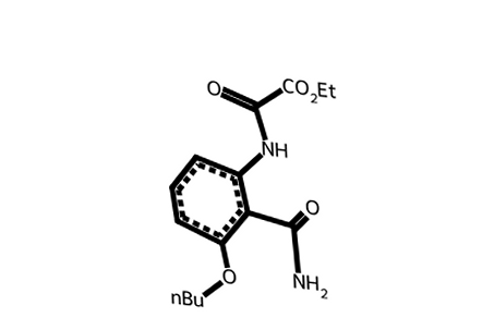 CCCCOc1cccc(NC(=O)C(=O)OCC)c1C(N)=O